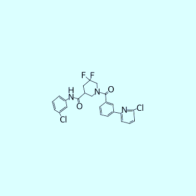 O=C(Nc1cccc(Cl)c1)C1CN(C(=O)c2cccc(-c3cccc(Cl)n3)c2)CC(F)(F)C1